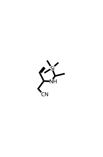 C=CC(CC#N)NC(C)[Si](C)(C)C